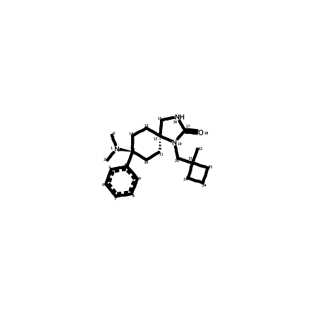 CN(C)[C@]1(c2ccccc2)CC[C@]2(CC1)CNC(=O)N2CC1(C)CCC1